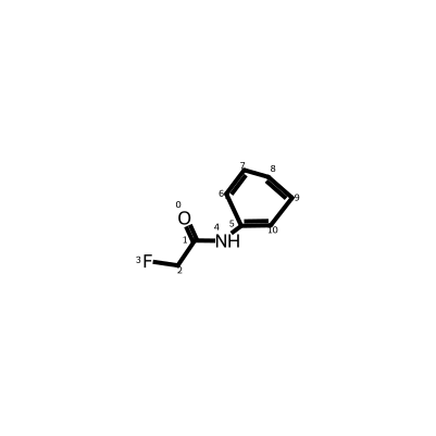 O=C(CF)Nc1[c]cccc1